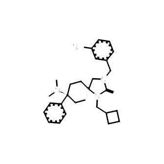 CN(C)[C@]1(c2ccccc2)CC[C@]2(CC1)CN(Cc1cccc(C#N)c1)C(=O)N2CC1CCC1